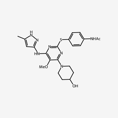 COc1c(Nc2cc(C)[nH]n2)nc(Sc2ccc(NC(C)=O)cc2)nc1N1CCC(O)CC1